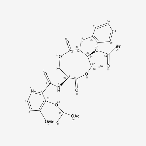 COc1ccnc(C(=O)N[C@H]2COC(=O)[C@H](Cc3ccccc3)[C@@H](OC(=O)C(C)C)[C@H](C)OC2=O)c1OC(C)OC(C)=O